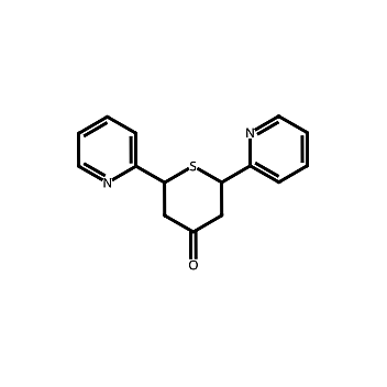 O=C1CC(c2ccccn2)SC(c2ccccn2)C1